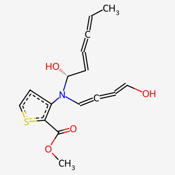 CC=C=C=C[C@@H](O)N(C=C=C=CO)c1ccsc1C(=O)OC